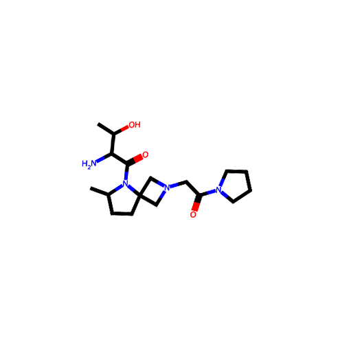 CC(O)C(N)C(=O)N1C(C)CCC12CN(CC(=O)N1CCCC1)C2